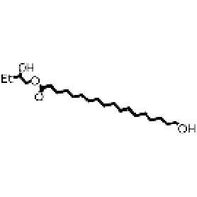 CCC(O)COC(=O)CCCCCCCCCCCCCCCCCO